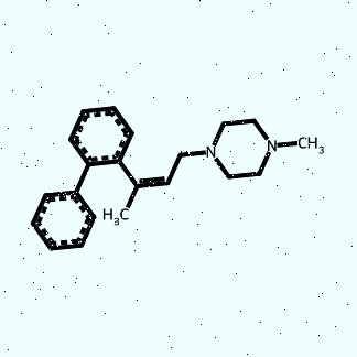 CC(=CCN1CCN(C)CC1)c1ccccc1-c1ccccc1